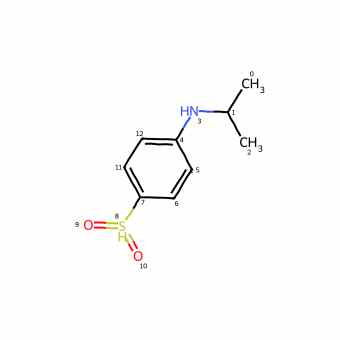 CC(C)Nc1[c]cc([SH](=O)=O)cc1